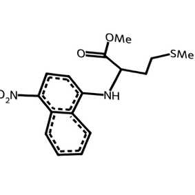 COC(=O)C(CCSC)Nc1ccc([N+](=O)[O-])c2ccccc12